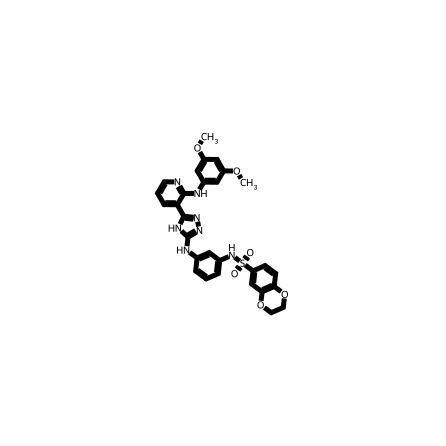 COc1cc(Nc2ncccc2-c2nnc(Nc3cccc(NS(=O)(=O)c4ccc5c(c4)OCCO5)c3)[nH]2)cc(OC)c1